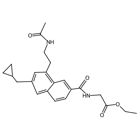 CCOC(=O)CNC(=O)c1ccc2cc(CC3CC3)cc(CCNC(C)=O)c2c1